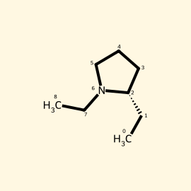 CC[C@H]1CCCN1CC